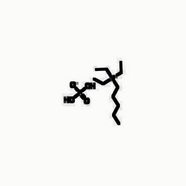 CCCCC[N+](CC)(CC)CC.O=P([O-])(O)O